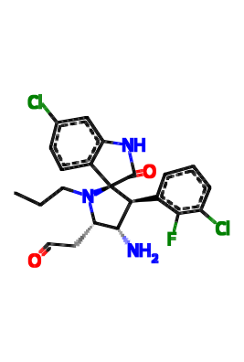 CCCN1[C@@H](CC=O)[C@@H](N)[C@H](c2cccc(Cl)c2F)[C@]12C(=O)Nc1cc(Cl)ccc12